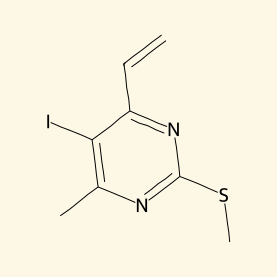 C=Cc1nc(SC)nc(C)c1I